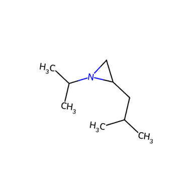 CC(C)CC1CN1C(C)C